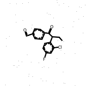 CCC(C(=O)c1ccc(C=O)cc1)c1ccc(F)cc1Cl